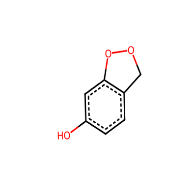 Oc1ccc2c(c1)OOC2